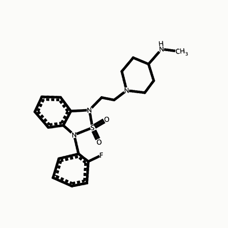 CNC1CCN(CCN2c3ccccc3N(c3ccccc3F)S2(=O)=O)CC1